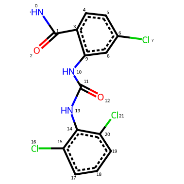 [NH]C(=O)c1ccc(Cl)cc1NC(=O)Nc1c(Cl)cccc1Cl